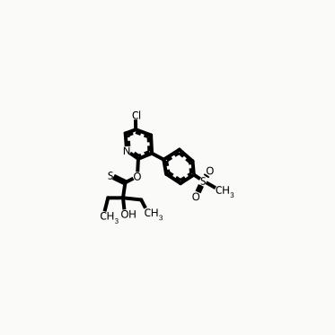 CCC(O)(CC)C(=S)Oc1ncc(Cl)cc1-c1ccc(S(C)(=O)=O)cc1